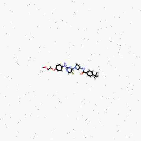 COCCOc1ccc(Nc2ncc(F)c(N3CCC(NC(=O)c4ccc(C(C)(C)C)cc4)C3)n2)cc1